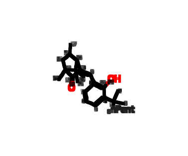 CCCCCC(C)(C)c1cccc(C=C2C(=O)C3(C)CC(C)C2C3(C)C)c1O